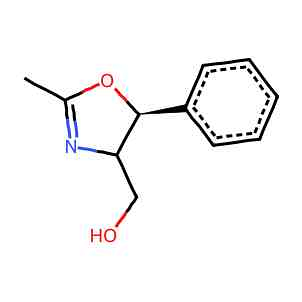 CC1=NC(CO)[C@H](c2ccccc2)O1